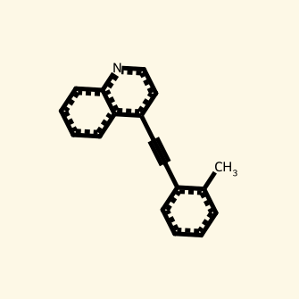 Cc1ccccc1C#Cc1ccnc2ccccc12